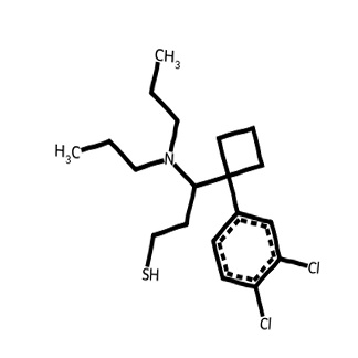 CCCN(CCC)C(CCS)C1(c2ccc(Cl)c(Cl)c2)CCC1